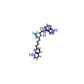 O=C(O)[C@H](CCN(CCCCc1ccc2c(n1)NCCC2)CC(F)F)Nc1ncnc2[nH]ncc12